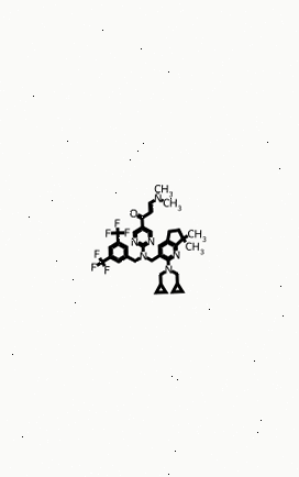 CN(C)C=CC(=O)c1cnc(N(Cc2cc(C(F)(F)F)cc(C(F)(F)F)c2)Cc2cc3c(nc2N(CC2CC2)CC2CC2)C(C)(C)CC3)nc1